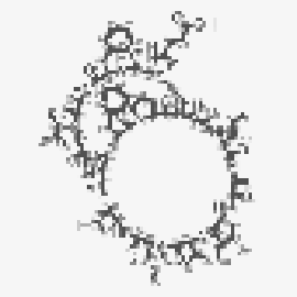 C=C1NC(=O)[C@H]([C@@H](C)CC)NC(=O)[C@@H]2CSSC[C@H](NC(=O)CCC(=O)O)C(=O)N[C@H](Cc3ccccc3)C(=O)N[C@H](C)C(=O)N[C@@H](C[C@@H](C)CC)C(=O)N[C@@H](C(=O)NC(Cc3ccccc3)C(=O)N3CCC[C@H]3C(=O)N2)[C@@H](C)OC(=O)[C@H](CO)NC(=O)[C@H]([C@@H](C)OC)N(C)C(=O)C(C(C)C)NC(=O)[C@H](C[C@H](C)CC)NC1=O